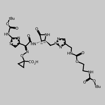 CC(C)(C)OC(=O)NCCOC(=O)NCc1cnn(C[C@@H]2NC(=O)[C@H]2NC(=O)C(=NOC2(C(=O)O)CC2)c2csc(NC(=O)OC(C)(C)C)n2)n1